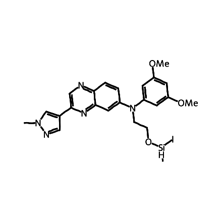 COc1cc(OC)cc(N(CCO[SiH](C)I)c2ccc3ncc(-c4cnn(C)c4)nc3c2)c1